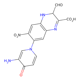 Nc1cn(-c2cc3c(cc2[N+](=O)[O-])NC(C=O)C(C(=O)O)=N3)ccc1=O